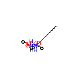 CCCCCCCCCCCCCCCCCCOC(=O)C(CCc1ccccc1)N[C@@H](C)C(=O)[C@]12CCC[C@H]1C[C@H](OC(=O)OCc1ccccc1)N2